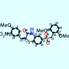 COc1ccc(/C=C2/Sc3ccc(S(=O)(=O)Cc4c(OC)cccc4OC)cc3NC2=O)cc1[N+](=O)[O-]